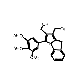 COc1cc(-c2c(CO)c(CO)c3n2-c2ccccc2C3)cc(OC)c1OC